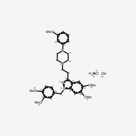 COc1cccc(N2CCN(CCc3nn(Cc4ccc(OC)c(OC)c4)c4cc(OC)c(OC)cc34)CC2)c1.Cl.Cl.O